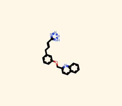 C(=Cc1nnn[nH]1)Cc1cccc(OCc2ccc3ccccc3n2)c1